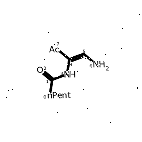 CCCCCC(=O)N/C(=C\N)C(C)=O